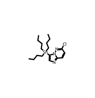 CCC[CH2][Sn]([CH2]CCC)([CH2]CCC)[c]1cnc2ccc(Cl)nn12